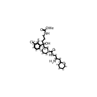 COC(=O)NCCC[C@@](O)(c1cccc(Cl)c1F)[C@@H]1CCCN(C(=O)NC[C@@H](N)CC2CCCCO2)C1